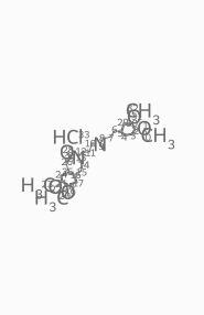 COc1ccc(CCCN=CCCN2CCc3cc(OC)c(OC)cc3CC2=O)cc1OC.Cl